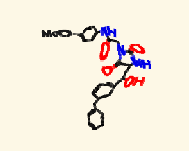 COc1ccc(NC(=O)CN2C(=O)NC(C(O)c3cccc(-c4ccccc4)c3)C2=O)cc1